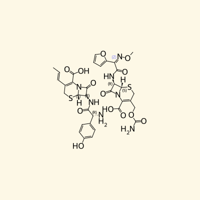 CC=CC1=C(C(=O)O)N2C(=O)[C@@H](NC(=O)[C@H](N)c3ccc(O)cc3)[C@@H]2SC1.CO/N=C(\C(=O)N[C@@H]1C(=O)N2C(C(=O)O)=C(COC(N)=O)CS[C@@H]12)c1ccco1